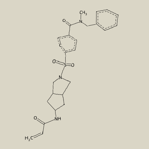 C=CC(=O)NC1CC2CN(S(=O)(=O)c3ccc(C(=O)N(C)Cc4ccccc4)cc3)CC2C1